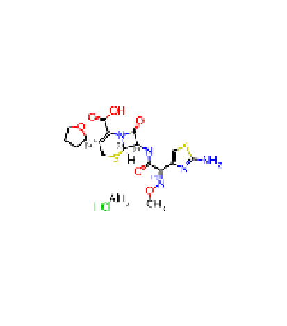 CO/N=C(\C(=O)N[C@@H]1C(=O)N2C(C(=O)O)=C([C@@H]3CCCO3)CS[C@H]12)c1csc(N)n1.Cl.[AlH3]